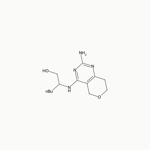 CCCCC(CO)Nc1nc(N)nc2c1COCC2